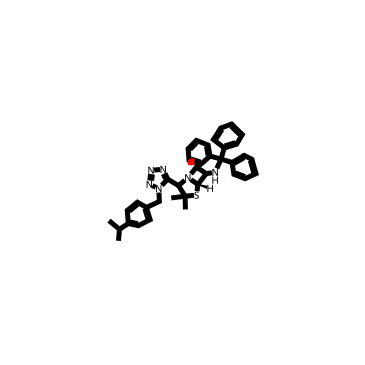 CC(C)c1ccc(Cn2nnnc2C2N3C(=O)C(NC(c4ccccc4)(c4ccccc4)c4ccccc4)[C@@H]3SC2(C)C)cc1